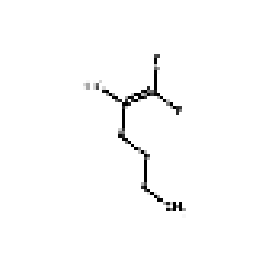 [CH]C(CCCC)=C(F)F